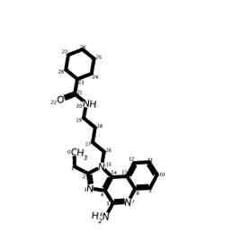 CCc1nc2c(N)nc3ccccc3c2n1CCCCNC(=O)C1CCCCC1